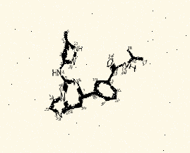 Cc1cc(Nc2nc(-c3cccc(C(=O)NC(C)C)c3)cc3nccn23)n[nH]1